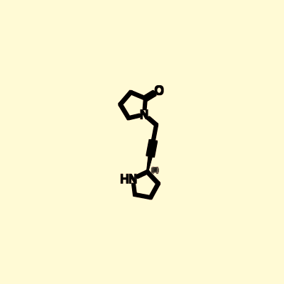 O=C1CCCN1CC#C[C@H]1CCCN1